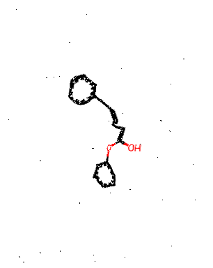 OC(=CC=Cc1ccccc1)Oc1ccccc1